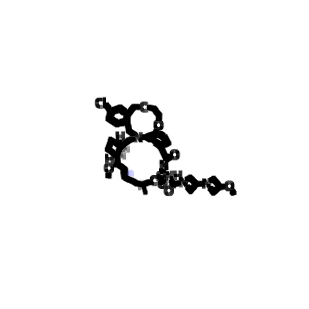 COC1CN(C2CN(C(=O)N[S@@]3(=O)=NC(=O)c4ccc5c(c4)N(Cc4ccc(Cl)cc4CCCCO5)C[C@@H]4CC[C@H]4[C@@H](OC)/C=C/C[C@H](C)C3)C2)C1